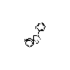 c1ccc(C2=NOC3(C2)CN2CCC3CC2)nc1